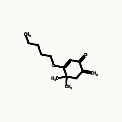 C=C1CC(C)(C)C(OCCCCC)=CC1=O